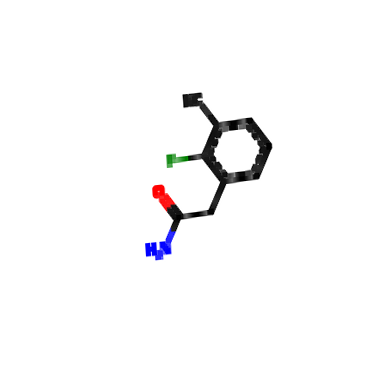 N#Cc1cccc(CC(N)=O)c1F